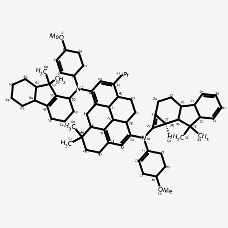 COC1C=CC(N(C2=C3CC4C5=C(C=C(N(C6=CCC(OC)CC6)C6=C7CCC8C9C=CC=CC9C(C)(C)C8[C@H]76)C6CCC(C(C(C)C)=C2)C3C56)CCC4(C)C)C2CCCC3=C2C(C)(C)C2CCCCC32)CC1